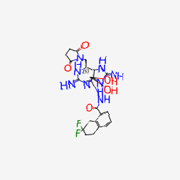 N=C1NC2[C@H](CN3C(=O)CCC3=O)NC(=N)N3CC(NC(=O)c4cccc5c4CC(F)(F)CC5)C(O)(O)C23N1